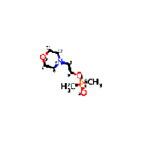 CP(C)(=O)OCCN1CCOCC1